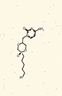 CC(C)CCCCCP1(=O)CO[C@@H](Cn2ccc(N)nc2=O)CO1